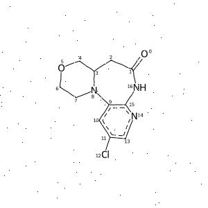 O=C1CC2COCCN2c2cc(Cl)cnc2N1